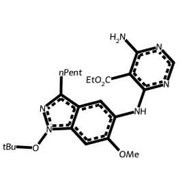 CCCCCc1nn(OC(C)(C)C)c2cc(OC)c(Nc3ncnc(N)c3C(=O)OCC)cc12